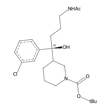 CC(=O)NCCC[C@@](O)(c1cccc(Cl)c1)C1CCCN(C(=O)OC(C)(C)C)C1